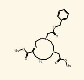 CC(C)(C)OC(=O)CN1CCNC/C(C(=O)OC(C)(C)C)=N/CCN(CC(=O)OCc2ccccc2)CC1